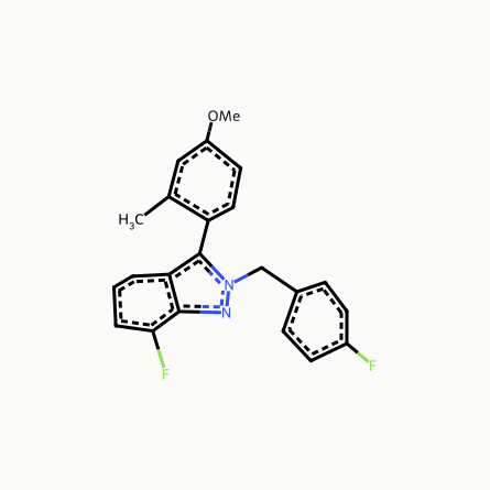 COc1ccc(-c2c3cccc(F)c3nn2Cc2ccc(F)cc2)c(C)c1